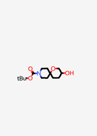 CC(C)(C)OC(=O)N1CCC2(CCC(O)CO2)CC1